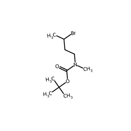 CC(Br)CCN(C)C(=O)OC(C)(C)C